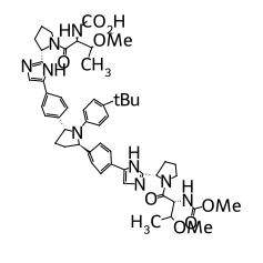 COC(=O)N[C@@H](C(=O)N1CCC[C@H]1c1ncc(-c2ccc([C@H]3CC[C@H](c4ccc(-c5cnc([C@@H]6CCCN6C(=O)[C@@H](NC(=O)O)[C@H](C)OC)[nH]5)cc4)N3c3ccc(C(C)(C)C)cc3)cc2)[nH]1)C(C)OC